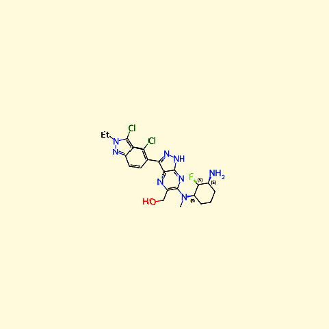 CCn1nc2ccc(-c3n[nH]c4nc(N(C)[C@@H]5CCC[C@H](N)[C@@H]5F)c(CO)nc34)c(Cl)c2c1Cl